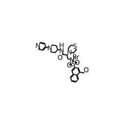 O=Cc1cc(S(=O)(=O)N(Br)CC(C(=O)NC2CCN(c3ccncc3)CC2)N2CCSCC2)cc2ccccc12